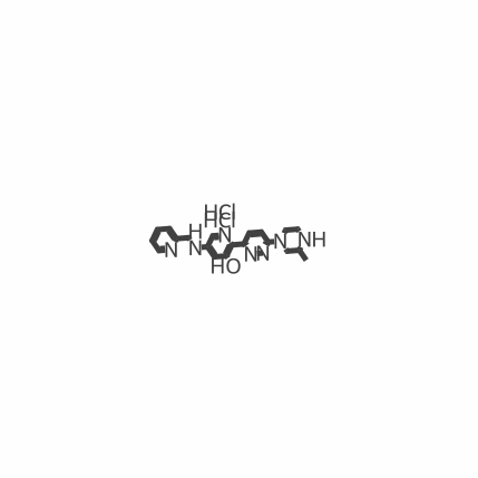 CC1CN(c2ccc(-c3ncc(NCc4ccccn4)cc3O)nn2)CCN1.Cl.Cl